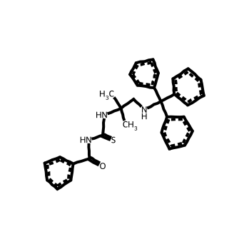 CC(C)(CNC(c1ccccc1)(c1ccccc1)c1ccccc1)NC(=S)NC(=O)c1ccccc1